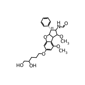 COc1cc(OCCCC(O)CO)cc2c1C1C(OC)C(NC=O)[C@@H](c3ccccc3)C1O2